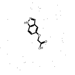 O=C(O)COc1ccc2[nH]ncc2c1